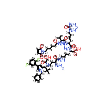 CC(C)[C@H](NC(=O)CCCCCN1C(=O)C=CC1=O)C(=O)N[C@@H](CCCCNC(N)=O)C(=O)N[C@@H](CCCCNC(=O)[C@@H](N)CCN(C(=O)CO)[C@@H](c1cc(-c2cc(F)ccc2F)cn1Cc1ccccc1)C(C)(C)C)C(=O)O